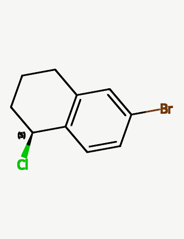 Cl[C@H]1CCCc2cc(Br)ccc21